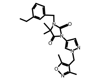 CCc1cccc(CN2C(=O)N(c3cnn(Cc4c(C)noc4C)c3)C(=O)C2(C)C)c1